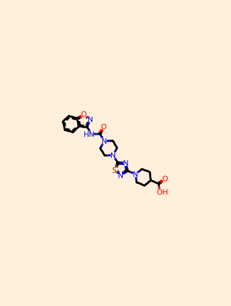 O=C(O)C1CCN(c2nsc(N3CCN(C(=O)Nc4noc5ccccc45)CC3)n2)CC1